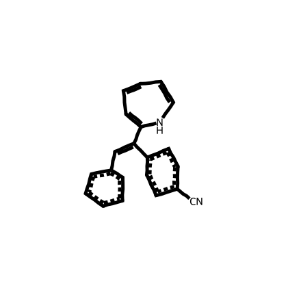 N#Cc1ccc(C(=Cc2ccccc2)C2=CC=CC=CN2)cc1